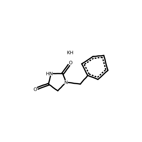 O=C1CN(Cc2ccccc2)C(=O)N1.[KH]